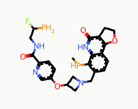 CPc1c(CN2CC(Oc3ccc(C(=O)NCC(F)P)nc3)C2)ccc2c3c(c(=O)[nH]c12)CCO3